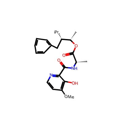 COc1ccnc(C(=O)N[C@@H](C)C(=O)O[C@@H](C)[C@H](Cc2ccccc2)C(C)C)c1O